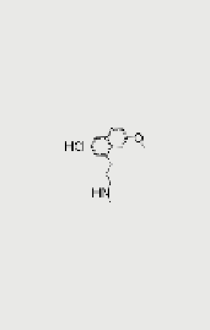 CNCCCc1cccc2ccc(OC)cc12.Cl